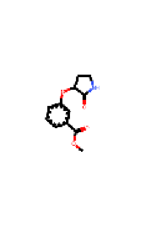 COC(=O)c1cccc(OC2CCNC2=O)c1